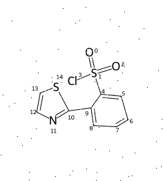 O=S(=O)(Cl)c1ccccc1-c1nccs1